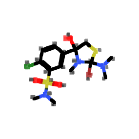 CN(C)C1(Br)SCC(O)(c2ccc(Cl)c(S(=O)(=O)N(C)C)c2)N1C